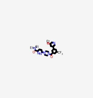 CCOc1cncc(-c2cc(C(=O)N3CCN(c4ccc(C(=O)N(CC)CC)nn4)CC3)cc(C(F)(F)F)c2)c1